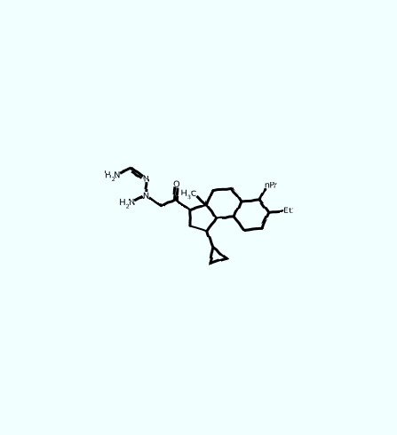 CCCC1C(CC)CCC2C1CCC1(C)C(C(=O)CN(N)/N=C\N)CC(C3CC3)C21